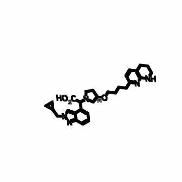 O=C(O)C(c1cccc2nn(CC3CC3)cc12)N1CC[C@@H](OCCCCc2ccc3c(n2)NCCC3)C1